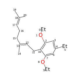 CCOc1cc(CC)cc(OCC)c1C/C=C(\C)CCC=C(C)C